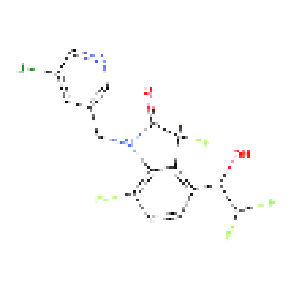 O=C1N(Cc2cncc(Cl)c2)c2c(F)ccc(C(O)C(F)F)c2C1(F)F